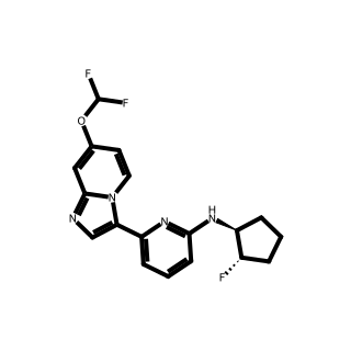 FC(F)Oc1ccn2c(-c3cccc(N[C@H]4CCC[C@@H]4F)n3)cnc2c1